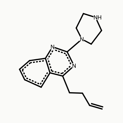 C=CCCc1nc(N2CCNCC2)nc2ccccc12